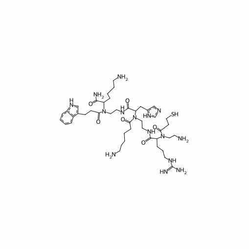 N=C(N)NCCCC(C(=O)NCCN(C(=O)CCCCCN)C(Cc1cnc[nH]1)C(=O)NCCN(C(=O)CCc1c[nH]c2ccccc12)C(CCCCN)C(N)=O)N(CCN)C(=O)CCS